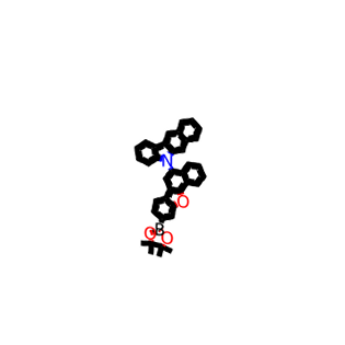 CC1(C)OB(c2ccc3c(c2)oc2c4ccccc4c(-n4c5ccccc5c5cc6ccccc6cc54)cc32)OC1(C)C